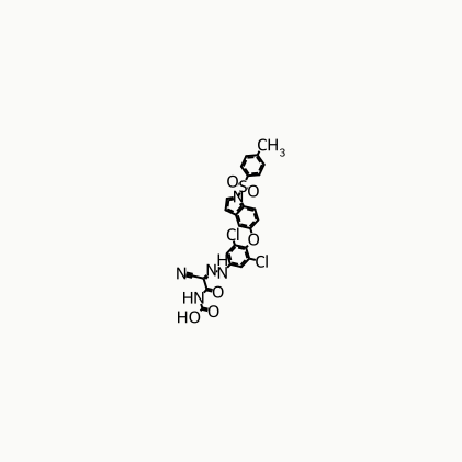 Cc1ccc(S(=O)(=O)n2ccc3cc(Oc4c(Cl)cc(NN=C(C#N)C(=O)NC(=O)O)cc4Cl)ccc32)cc1